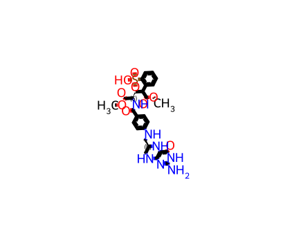 COC(=O)C(C[C@H](NC(=O)c1ccc(NC[C@@H]2CNc3nc(N)[nH]c(=O)c3N2)cc1)C(=O)OC)c1ccccc1S(=O)(=O)O